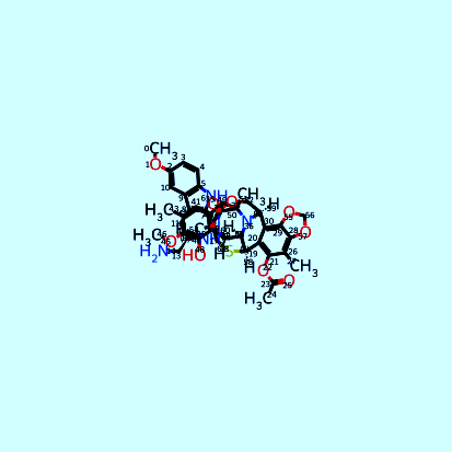 COc1ccc2[nH]c3c(c2c1)C[C@H](CN)N[C@]31CS[C@@H]2c3c(OC(C)=O)c(C)c4c(c3[C@H](COC1=O)N1[C@@H]2[C@@H]2c3c(cc(C)c(OC)c3O)CC1(C)CN2C)OCO4